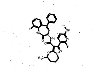 CCNc1ccc(-c2nn3c(c2C(=O)N[C@H]2N=C(c4ccccc4)c4cccc(F)c4NC2=O)OC(C)CCC3)c(F)n1